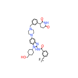 O=C1CCC(c2cccc(CN3CCN(c4ccc5c(c4)nc(NC(=O)c4cccc(C(F)(F)F)c4)n5C4CCC(CO)CC4)CC3)c2)C(=O)N1